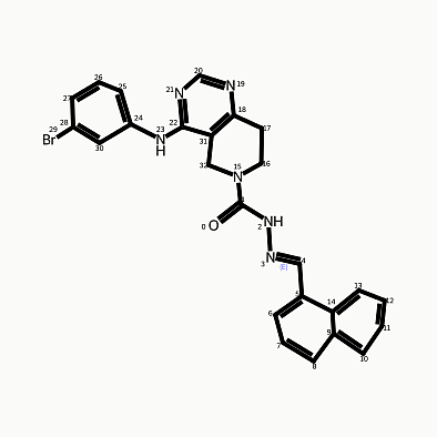 O=C(N/N=C/c1cccc2ccccc12)N1CCc2ncnc(Nc3cccc(Br)c3)c2C1